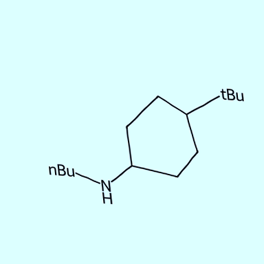 CCCCNC1CCC(C(C)(C)C)CC1